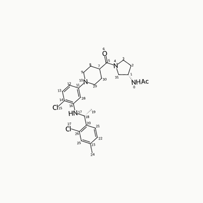 CC(=O)N[C@H]1CCN(C(=O)C2CCN(c3ccc(Cl)c(N[C@H](C)c4ccc(C)cc4Cl)c3)CC2)C1